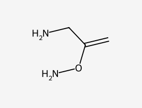 C=C(CN)ON